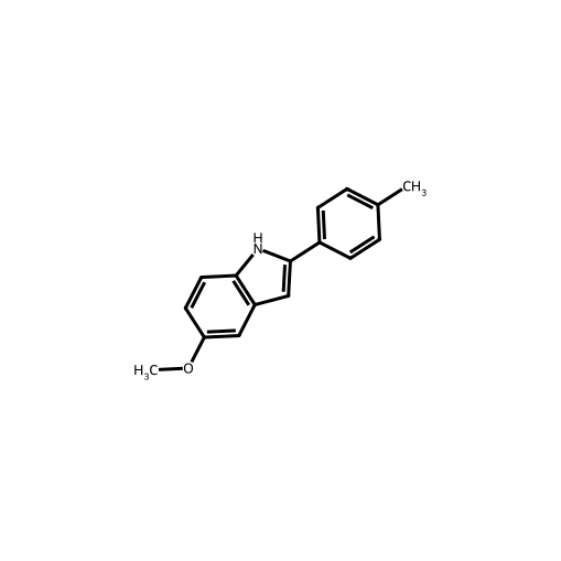 COc1ccc2[nH]c(-c3ccc(C)cc3)cc2c1